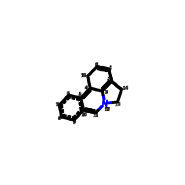 C1=CC2=C3C(=c4ccccc4=CN3CC2)C1